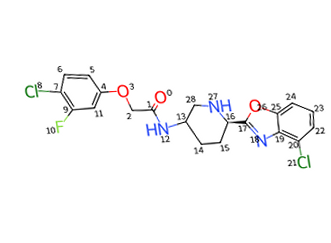 O=C(COc1ccc(Cl)c(F)c1)NC1CC[C@H](c2nc3c(Cl)cccc3o2)NC1